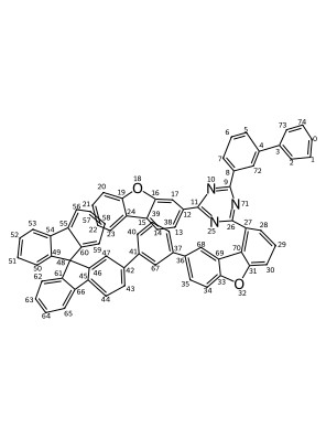 c1ccc(-c2cccc(-c3nc(-c4ccc5c(c4)oc4ccccc45)nc(-c4cccc5oc6ccc(-c7cccc(-c8ccc9c(c8)C8(c%10ccccc%10-c%10ccccc%108)c8ccccc8-9)c7)cc6c45)n3)c2)cc1